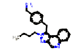 CCCCn1nc2cnc3ccccc3c2c1Cc1ccc(CN)cc1